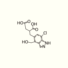 O=C(O)CC(Cc1cc(Cl)c2[nH]ncc2c1CO)C(=O)O